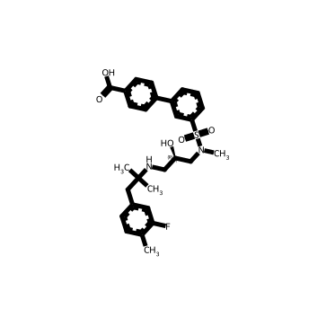 Cc1ccc(CC(C)(C)NC[C@@H](O)CN(C)S(=O)(=O)c2cccc(-c3ccc(C(=O)O)cc3)c2)cc1F